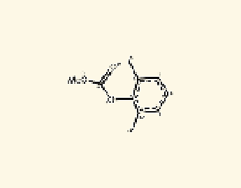 COC(=O)Oc1c(C)cccc1C